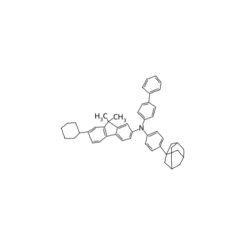 CC1(C)c2cc(C3CCCCC3)ccc2-c2ccc(N(c3ccc(-c4ccccc4)cc3)c3ccc(C45CC6CC(CC(C6)C4)C5)cc3)cc21